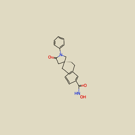 O=C(NO)c1ccc2c(c1)CC[C@@]1(CC(=O)N(c3ccccc3)C1)C2